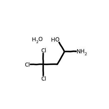 NC(O)CC(Cl)(Cl)Cl.O